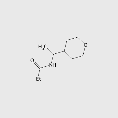 CCC(=O)NC(C)C1CCOCC1